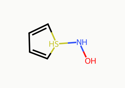 ON[SH]1C=CC=C1